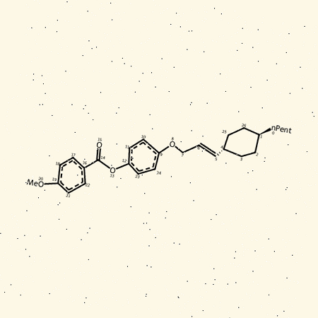 CCCCC[C@H]1CC[C@H](/C=C/COc2ccc(OC(=O)c3ccc(OC)cc3)cc2)CC1